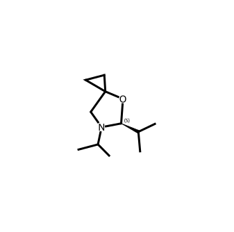 CC(C)[C@@H]1OC2(CC2)CN1C(C)C